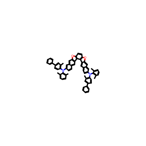 Cc1cc(-c2ccccc2)ccc1N(c1ccc2cc3c(cc2c1)oc1ccc2oc4cc5cc(N(c6ccc(-c7ccccc7)cc6C)c6c(C)cccc6C)ccc5cc4c2c13)c1c(C)cccc1C